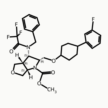 COC(=O)N1[C@@H]2COC[C@@H]2[C@H](N(Cc2ccccc2)C(=O)C(F)(F)F)[C@@H]1COC1CCC(c2cccc(F)c2)CC1